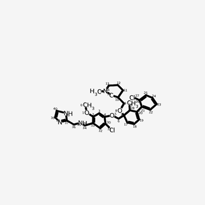 COc1cc(OCC2(OCC3CCCN(C)C3)C=CC=C(c3ccccc3Cl)C2C)c(Cl)cc1CNCc1ncc[nH]1